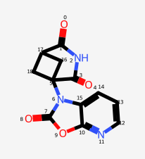 O=C1NC(=O)C2(n3c(=O)oc4ncccc43)CC1C2